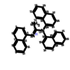 N/C(=N\c1cccc2ccccc12)N(c1cccc2ccccc12)c1cccc2ccccc12